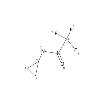 O=C([N]C1CC1)C(F)(F)F